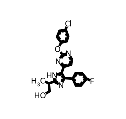 CC(CO)c1nc(-c2ccc(F)cc2)c(-c2ccnc(Oc3ccc(Cl)cc3)n2)[nH]1